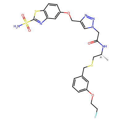 C[C@H](CSCc1cccc(OCCF)c1)NC(=O)Cn1cc(COc2ccc3sc(S(N)(=O)=O)nc3c2)nn1